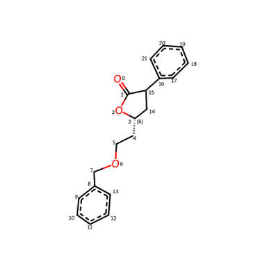 O=C1O[C@@H](CCOCc2ccccc2)CC1c1ccccc1